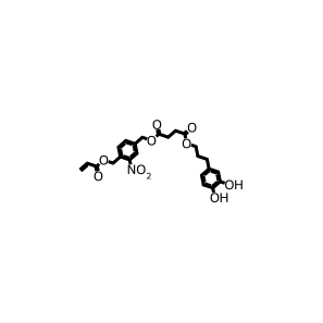 C=CC(=O)OCc1ccc(COC(=O)CCC(=O)OCCCc2ccc(O)c(O)c2)cc1[N+](=O)[O-]